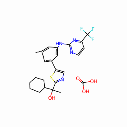 Cc1cc(Nc2nccc(C(F)(F)F)n2)cc(-c2cnc(C(C)(O)C3CCCCC3)s2)c1.O=C(O)O